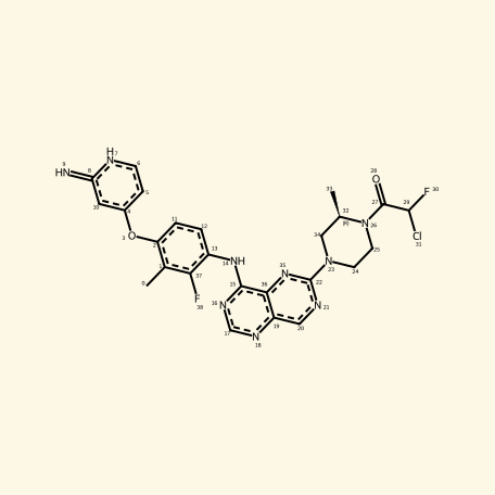 Cc1c(Oc2cc[nH]c(=N)c2)ccc(Nc2ncnc3cnc(N4CCN(C(=O)C(F)Cl)[C@H](C)C4)nc23)c1F